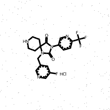 Cl.O=C1N(c2ccc(C(F)(F)F)nc2)C(=O)C2(CCNCC2)N1Cc1cncc(F)c1